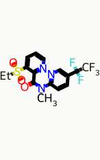 CCS(=O)(=O)c1cccnc1C(=O)N(C)c1ccc(C(F)(F)C(F)(F)F)cn1